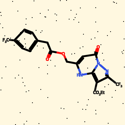 CCOC(=O)c1c(C(F)(F)F)nn2c(=O)cc(COC(=O)Cc3ccc(C(F)(F)F)cc3)[nH]c12